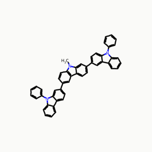 Cn1c2ccc(-c3ccc4c5ccccc5n(-c5ccccc5)c4c3)cc2c2ccc(-c3ccc4c(c3)c3ccccc3n4-c3ccccc3)cc21